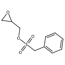 O=S(=O)(Cc1ccccc1)OCC1CO1